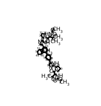 COC(=O)N[C@H](C(=O)N1CCC[C@H]1c1ncc(-c2ccc(-c3ccc(-c4cnc([C@@H]5CCCN5C(=O)[C@@H](NC(=O)OC)C(C)C)[nH]4)c4c3C3CCC4C3C)cc2)[nH]1)C(C)C